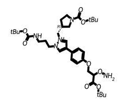 CC(C)(C)OC(=O)NCCCn1cc(-c2ccc(OCC(ON)C(=O)OC(C)(C)C)cc2)c[n+]1C[C@@H]1CCN(C(=O)OC(C)(C)C)C1